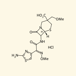 COCC1(C(=O)O)CS[C@@H]2C(NC(=O)C(=NOC)c3csc(N)n3)C(=O)N2C1.Cl